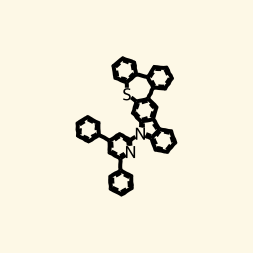 c1ccc(-c2cc(-c3ccccc3)nc(-n3c4ccccc4c4cc5c(cc43)Sc3ccccc3-c3ccccc3-5)c2)cc1